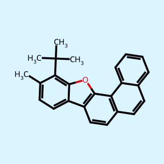 Cc1ccc2c(oc3c2ccc2ccc4ccccc4c23)c1C(C)(C)C